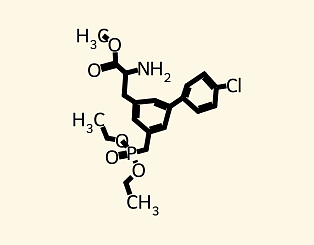 CCOP(=O)(Cc1cc(CC(N)C(=O)OC)cc(-c2ccc(Cl)cc2)c1)OCC